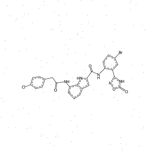 O=C(Cc1ccc(Cl)cc1)Nc1cccc2cc(C(=O)Nc3ccc(Br)cc3-c3noc(=O)[nH]3)[nH]c12